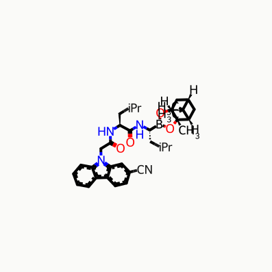 CC(C)C[C@H](NC(=O)[C@H](CC(C)C)NC(=O)Cn1c2ccccc2c2ccc(C#N)cc21)B1O[C@@H]2C[C@@H]3C[C@@H](C3(C)C)[C@]2(C)O1